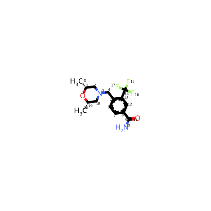 C[C@@H]1CN(Cc2ccc(C(N)=O)cc2C(F)(F)F)C[C@H](C)O1